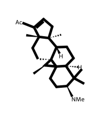 CN[C@H]1CCC23[C@@H](C)[C@]24CC[C@]2(C)C(C(C)=O)=CC[C@@]2(C)[C@@H]4CC[C@H]3C1(C)C